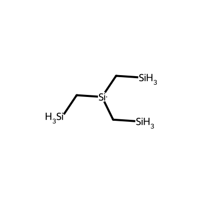 [SiH3]C[Si](C[SiH3])C[SiH3]